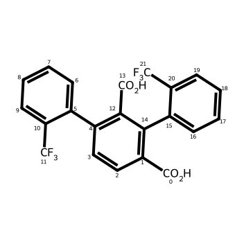 O=C(O)c1ccc(-c2ccccc2C(F)(F)F)c(C(=O)O)c1-c1ccccc1C(F)(F)F